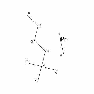 CCCCC(C)(C)C.C[C](C)C